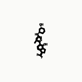 Cc1cc(N[C@@H]2CCC[C@@H](O)C2)nnc1-c1ccc2c(c1O)CCC2=C(F)F